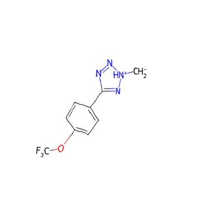 [CH2-][NH+]1N=NC(c2ccc(OC(F)(F)F)cc2)=N1